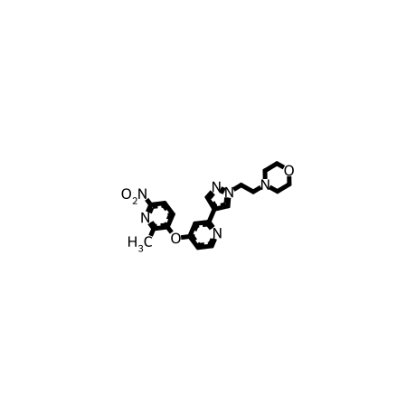 Cc1nc([N+](=O)[O-])ccc1Oc1ccnc(-c2cnn(CCN3CCOCC3)c2)c1